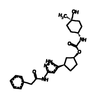 C[C@]1(O)CC[C@H](NC(=O)O[C@H]2CC[C@@H](c3cc(NC(=O)Cc4ccccc4)n[nH]3)C2)CC1